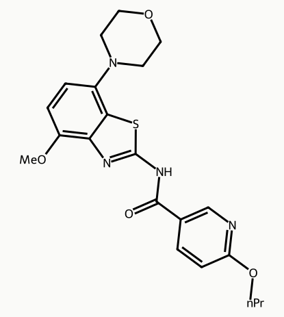 CCCOc1ccc(C(=O)Nc2nc3c(OC)ccc(N4CCOCC4)c3s2)cn1